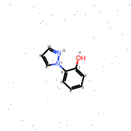 Oc1ccccc1-n1cc[c]n1